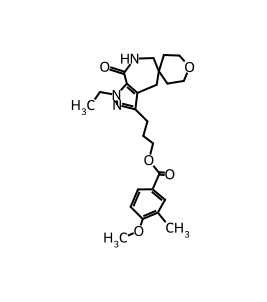 CCn1nc(CCCOC(=O)c2ccc(OC)c(C)c2)c2c1C(=O)NCC1(CCOCC1)C2